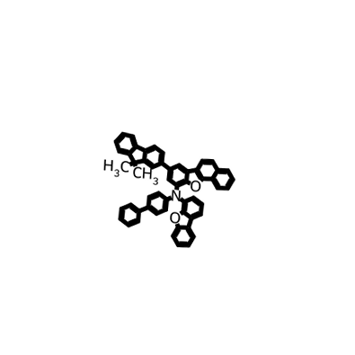 CC1(C)c2ccccc2-c2ccc(-c3cc(N(c4ccc(-c5ccccc5)cc4)c4cccc5c4oc4ccccc45)c4oc5c6ccccc6ccc5c4c3)cc21